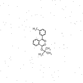 Cc1cccc(C(=O)c2ccccc2C(=O)OC(C)(C)C)c1